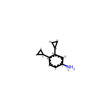 Nc1ccc(C2CC2)c(C2CC2)c1